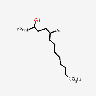 CCCCCC(O)CCC(CCCCCCCC(=O)O)C(C)=O